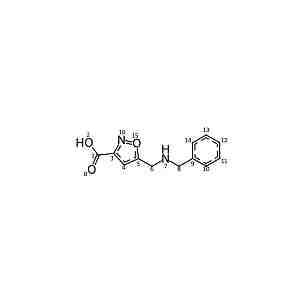 O=C(O)c1cc(CNCc2ccccc2)on1